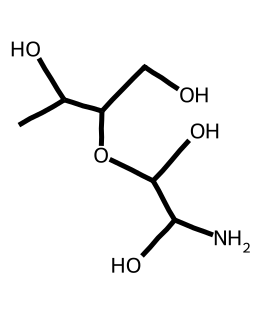 CC(O)C(CO)OC(O)C(N)O